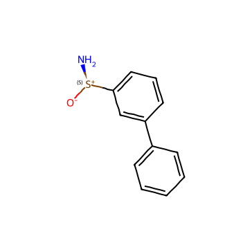 N[S@+]([O-])c1cccc(-c2ccccc2)c1